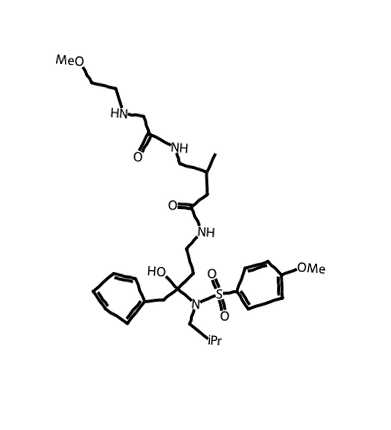 COCCNCC(=O)NCC(C)CC(=O)NCCC(O)(Cc1ccccc1)N(CC(C)C)S(=O)(=O)c1ccc(OC)cc1